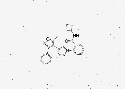 Cc1onc(-c2ccccc2)c1-c1cn(-c2ccccc2C(=O)NC2CCC2)cn1